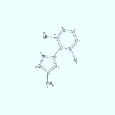 Cc1[c]c(-c2c(Cl)cccc2Cl)no1